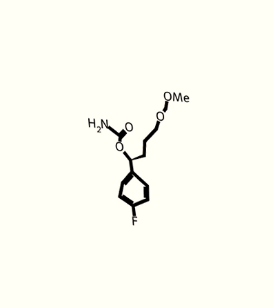 COCOCCC[C@H](OC(N)=O)c1ccc(F)cc1